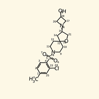 Cc1ccc(S(=O)(=O)N2CCC3(CC2)C[C@@H](N2CC(O)C2)CO3)c(Cl)c1